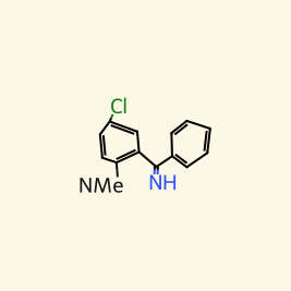 CNc1ccc(Cl)cc1C(=N)c1ccccc1